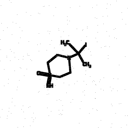 CC(C)(I)N1CCS(=N)(=O)CC1